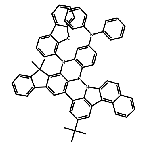 CC(C)(C)c1cc2c3c(c1)c1c4ccccc4ccc1n3B1c3ccc(N(c4ccccc4)c4ccccc4)cc3N(c3cccc4c3oc3ccccc34)c3c1c-2cc1c3C(C)(C)c2ccccc2-1